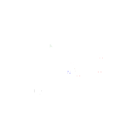 O=C(O)C1CCC(CN(Cc2cccc(Br)c2)S(=O)(=O)c2ccc3c(c2)OCCO3)CC1